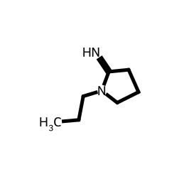 CCCN1CCCC1=N